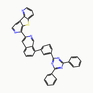 c1ccc(-c2nc(-c3ccccc3)nc(-c3cccc(-c4cccc5cc(-c6nccc7c6sc6cccnc67)ncc45)c3)n2)cc1